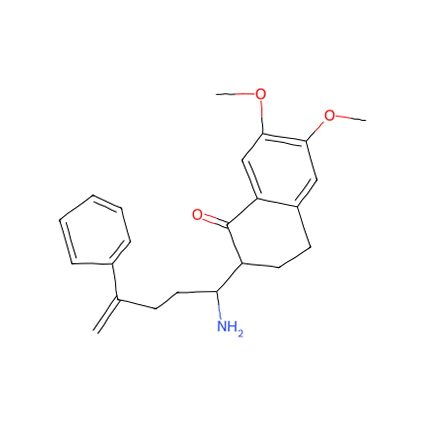 C=C(CCC(N)C1CCc2cc(OC)c(OC)cc2C1=O)c1ccccc1